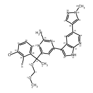 COCOC(C)(c1cc(-c2c[nH]c3ncc(-c4cnn(C)c4)cc23)nc(N)n1)c1cccc(Cl)c1F